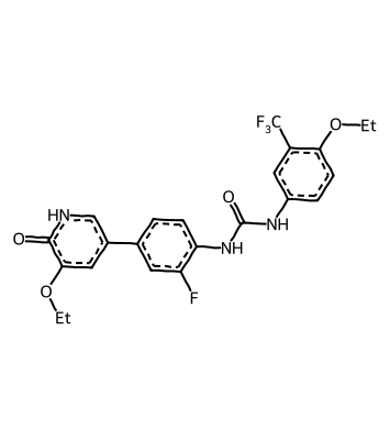 CCOc1ccc(NC(=O)Nc2ccc(-c3c[nH]c(=O)c(OCC)c3)cc2F)cc1C(F)(F)F